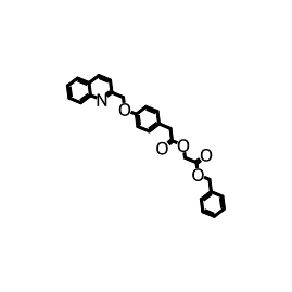 O=C(COC(=O)Cc1ccc(OCc2ccc3ccccc3n2)cc1)OCc1ccccc1